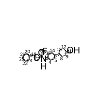 O=C(Nc1ccc(C2=CCC(O)CC2)cc1F)OCc1ccccc1